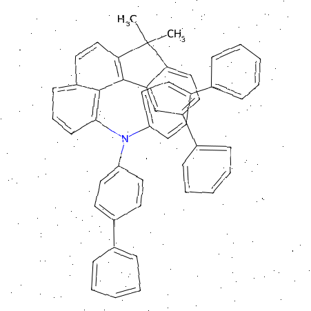 CC1(C)c2ccc(-c3ccccc3)cc2-c2c1ccc1cccc(N(c3ccc(-c4ccccc4)cc3)c3ccc(-c4ccccc4)cc3)c21